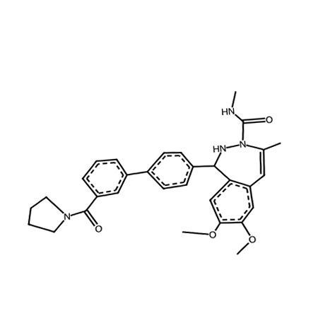 CNC(=O)N1NC(c2ccc(-c3cccc(C(=O)N4CCCC4)c3)cc2)c2cc(OC)c(OC)cc2C=C1C